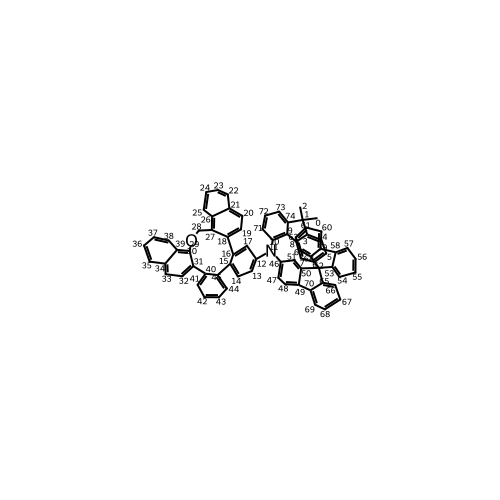 CC1(C)c2ccccc2-c2c(N(c3ccc4c(c3)-c3ccc5ccccc5c3COc3c(ccc5ccccc35)-c3ccccc3-4)c3ccc4c(c3)C3(c5ccccc5-c5ccccc53)c3ccccc3-4)cccc21